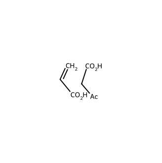 C=CC(=O)O.CC(=O)CC(=O)O